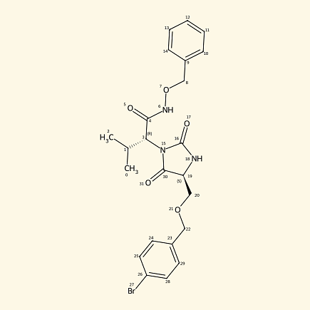 CC(C)[C@H](C(=O)NOCc1ccccc1)N1C(=O)N[C@@H](COCc2ccc(Br)cc2)C1=O